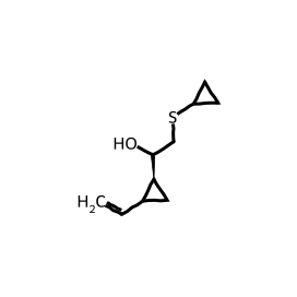 C=CC1C[C@@H]1C(O)CSC1CC1